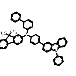 CC1(C)c2ccccc2-c2ccc(N(C3=CC=CC(c4ccccc4)C3)C3C=CC(c4ccc5c(c4)c4ccccc4n5-c4ccccc4)=CC3)cc21